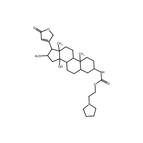 CC(=O)OC1CC2(O)C3CCC4CC(NC(=O)OCCN5CCCC5)CCC4(C)C3CCC2(C)C1C1=CC(=O)OC1